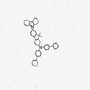 CC1(C)C2=C(C=CC(N(c3ccc(C4=CC=CCC4)cc3)c3ccc(-c4ccccc4)cc3)C2)c2ccc(-n3c4c(c5c3CCC=C5)CCC=C4)cc21